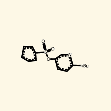 CCCCc1ccc(OS(=O)(=O)c2ccccc2)cn1